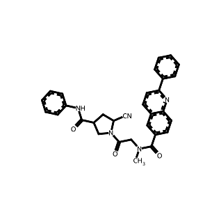 CN(CC(=O)N1CC(C(=O)Nc2ccccc2)CC1C#N)C(=O)c1ccc2nc(-c3ccccc3)ccc2c1